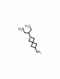 CCC(CN)N1CC2(CC(N)C2)C1